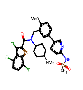 CN[C@H]1CC[C@@H](N(Cc2cc(-c3ccc(NS(C)(=O)=O)nc3)ccc2OC)C(=O)c2sc3c(F)ccc(F)c3c2Cl)CC1